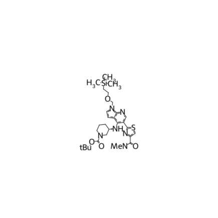 CNC(=O)c1csc(-c2cnc3c(ccn3COCC[Si](C)(C)C)c2N[C@@H]2CCCN(C(=O)OC(C)(C)C)C2)n1